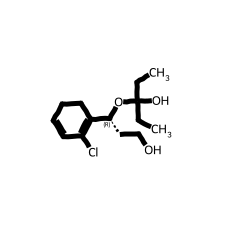 CCC(O)(CC)O[C@H](CCO)C1=C(Cl)C=CCC1